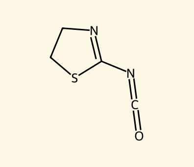 O=C=NC1=NCCS1